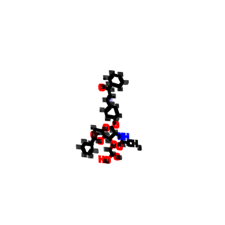 CC(=O)NC1C(Oc2ccc(/C=C/C(=O)c3ccccc3)cc2)OC2COC(c3ccccc3)OC2C1OCC(=O)O